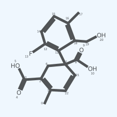 CC1=C(C(=O)O)CC(C(=O)O)(c2c(F)ccc(C)c2CO)C=C1